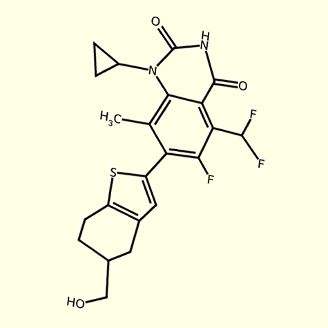 Cc1c(-c2cc3c(s2)CCC(CO)C3)c(F)c(C(F)F)c2c(=O)[nH]c(=O)n(C3CC3)c12